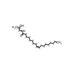 CCCCCCCC/C=C\CCCCCCCC(=O)NC[C@@H](C)O